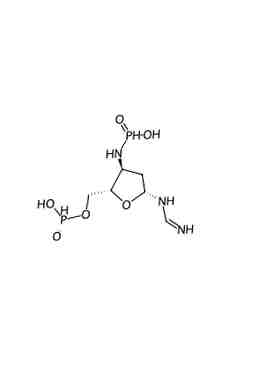 N=CN[C@H]1C[C@H](N[PH](=O)O)[C@@H](CO[PH](=O)O)O1